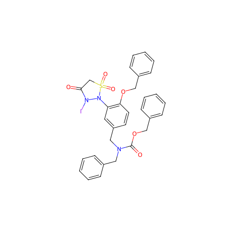 O=C(OCc1ccccc1)N(Cc1ccccc1)Cc1ccc(OCc2ccccc2)c(N2N(I)C(=O)CS2(=O)=O)c1